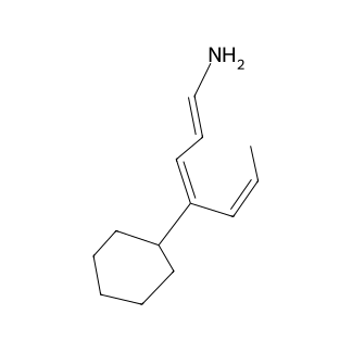 C\C=C/C(=C\C=C\N)C1CCCCC1